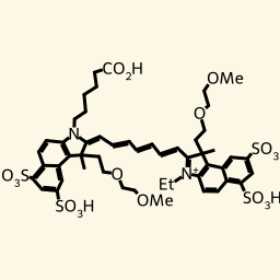 CC[N+]1=C(/C=C/C=C/C=C/C=C2/N(CCCCCC(=O)O)c3ccc4c(S(=O)(=O)O)cc(S(=O)(=O)O)cc4c3C2(C)CCOCCOC)C(C)(CCOCCOC)c2c1ccc1c(S(=O)(=O)O)cc(S(=O)(=O)O)cc21